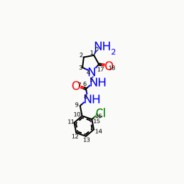 N[C@@H]1CCN(NC(=O)NCc2ccccc2Cl)C1=O